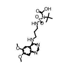 COc1cc2ncnc(NCCCNS(=O)(=O)N(C(=O)O)C(C)(C)C)c2cc1OC